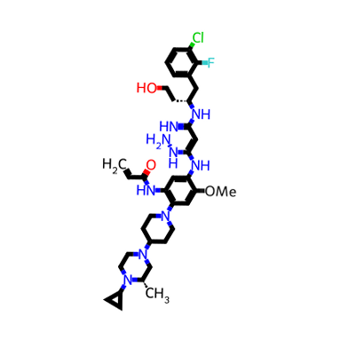 C=CC(=O)Nc1cc(N/C(=C/C(=N)N[C@H](CCO)Cc2cccc(Cl)c2F)NN)c(OC)cc1N1CCC(N2CCN(C3CC3)[C@@H](C)C2)CC1